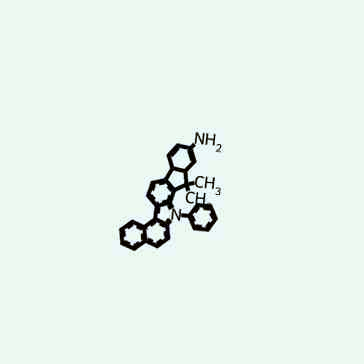 CC1(C)c2c(ccc3c4c5ccccc5ccc4n(-c4ccccc4)c23)C2C=CC(N)=CC21